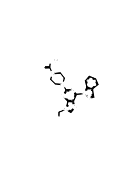 COC(=O)N1CCN(c2nc(-n3ncc4ccccc43)c3ncn(CC(=O)O)c3n2)CC1